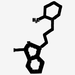 CC1CCCCN1CCCn1nc(I)c2ccccc21